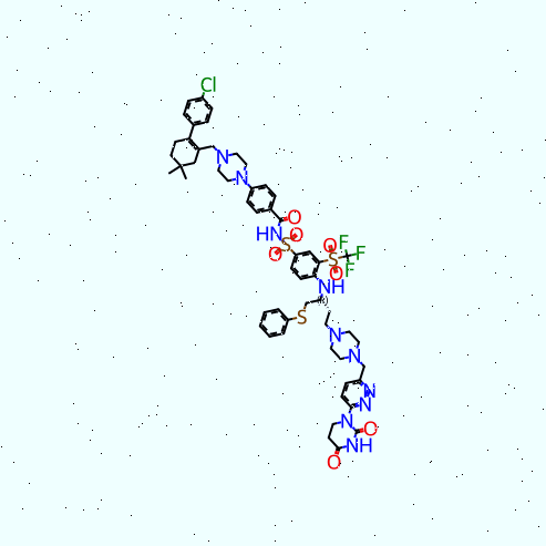 CC1(C)CCC(c2ccc(Cl)cc2)=C(CN2CCN(c3ccc(C(=O)NS(=O)(=O)c4ccc(N[C@H](CCN5CCN(Cc6ccc(N7CCC(=O)NC7=O)nn6)CC5)CSc5ccccc5)c(S(=O)(=O)C(F)(F)F)c4)cc3)CC2)C1